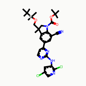 CC(C)(C)OC(=O)N1CC(C)(CO[Si](C)(C)C(C)(C)C)c2cc(-c3ccnc(Nc4cc(Cl)cnc4Cl)n3)cc(C#N)c21